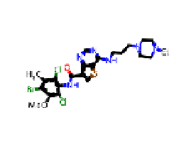 CCN1CCN(CCCNc2ncnc3c(C(=O)Nc4c(Cl)c(C)c(Br)c(OC)c4Cl)csc23)CC1